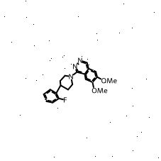 COc1cc2cnnc(N3CCC(c4ccccc4F)CC3)c2cc1OC